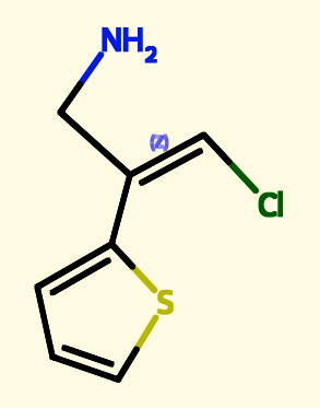 NC/C(=C/Cl)c1cccs1